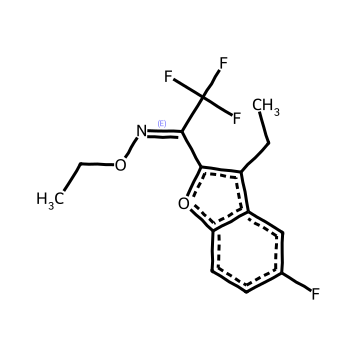 CCO/N=C(\c1oc2ccc(F)cc2c1CC)C(F)(F)F